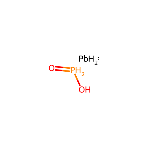 O=[PH2]O.[PbH2]